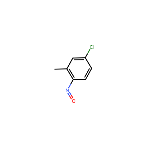 Cc1cc(Cl)ccc1N=O